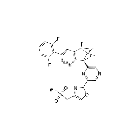 CC(C)S(=O)(=O)Cc1coc(-c2cncc([C@@]34CC[C@@H](c5cc(-c6c(F)cccc6F)nnc53)C4(C)C)n2)n1